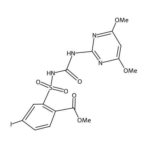 COC(=O)c1ccc(I)cc1S(=O)(=O)NC(=O)Nc1nc(OC)cc(OC)n1